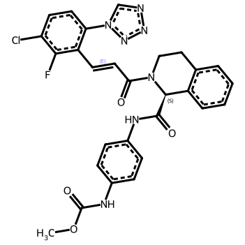 COC(=O)Nc1ccc(NC(=O)[C@@H]2c3ccccc3CCN2C(=O)/C=C/c2c(-n3cnnn3)ccc(Cl)c2F)cc1